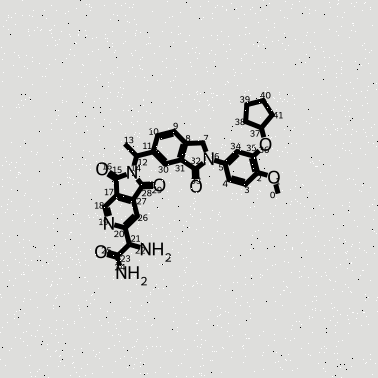 COc1ccc(N2Cc3ccc(C(C)N4C(=O)c5cnc(C(N)C(N)=O)cc5C4=O)cc3C2=O)cc1OC1CCCC1